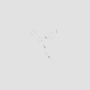 CCCCC(F)[C@@H](C=C[C@@H]1[C@@H](CC=CCCCC(=O)OC)[C@H](O)C[C@H]1OC1CCCCO1)OC1CCCCO1